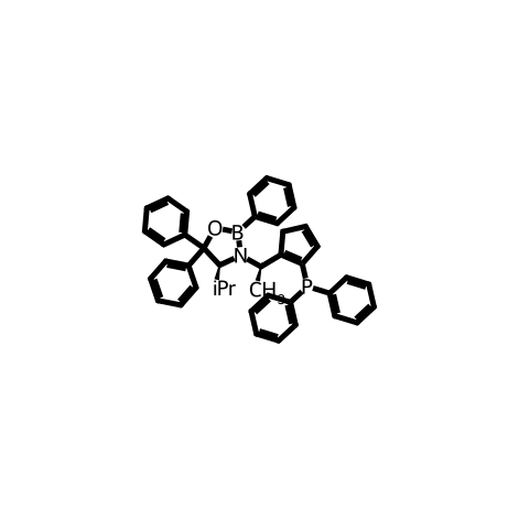 CC(C)[C@@H]1N([C@H](C)C2=C(P(c3ccccc3)c3ccccc3)C=CC2)B(c2ccccc2)OC1(c1ccccc1)c1ccccc1